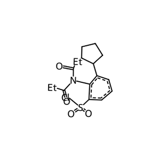 CCC(=O)N(C(=O)CC)c1c(C2CCCC2)cccc1S(=O)(=O)Cl